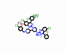 CCOc1cc(CN2CCC(C3CC(N(N)c4nc(-c5ccccc5F)c5cc(Cl)ccc5n4)CCN3c3nc(-c4ccccc4F)c4cc(Cl)ccc4n3)CC2)ccc1Cl.Cl.Cl